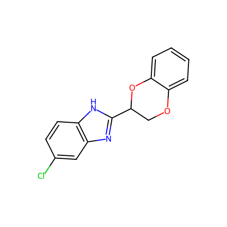 Clc1ccc2[nH]c(C3COc4ccccc4O3)nc2c1